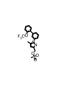 Cc1cc(COS(C)(=O)=O)nn1-c1cccc(-c2ccccc2OC(F)(F)F)c1